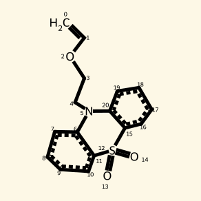 C=COCCN1c2ccccc2S(=O)(=O)c2ccccc21